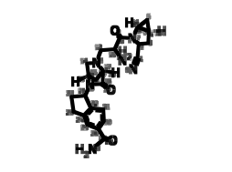 N#CC1C[C@@H]2C[C@@H]2N1C(=O)C(N)CN1C[C@@H]2C[C@H]1C(=O)N2C1CCc2cc(C(N)=O)ccc21